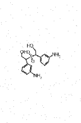 Nc1cccc(C(CO)S(=O)(=O)C(CO)c2cccc(N)c2)c1